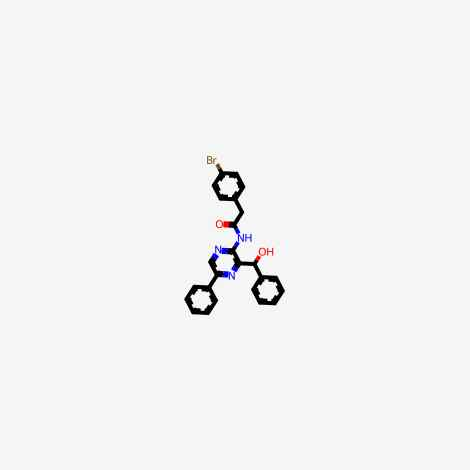 O=C(Cc1ccc(Br)cc1)Nc1ncc(-c2ccccc2)nc1C(O)c1ccccc1